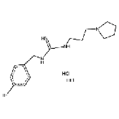 Cl.Cl.N=C(NCCCN1CCCC1)NCc1ccc(Br)cc1